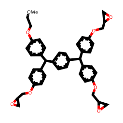 COCCOc1ccc(C(c2ccc(OCC3CO3)cc2)c2ccc(C(c3ccc(OCC4CO4)cc3)c3ccc(OCC4CO4)cc3)cc2)cc1